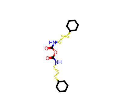 O=C(NSSSC1CCCCC1)OC(=O)NSSSC1CCCCC1